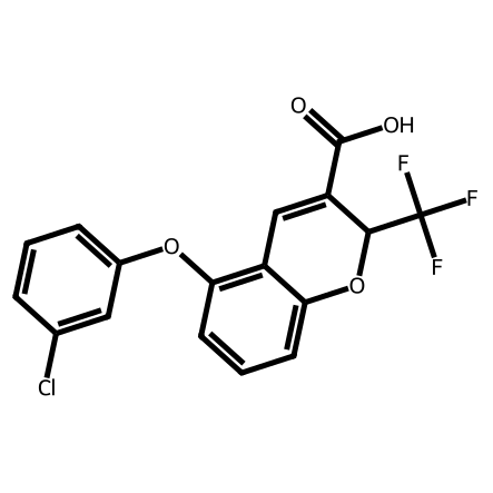 O=C(O)C1=Cc2c(Oc3cccc(Cl)c3)cccc2OC1C(F)(F)F